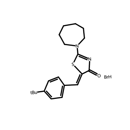 Br.CC(C)(C)c1ccc(C=C2SC(N3CCCCCC3)=NC2=O)cc1